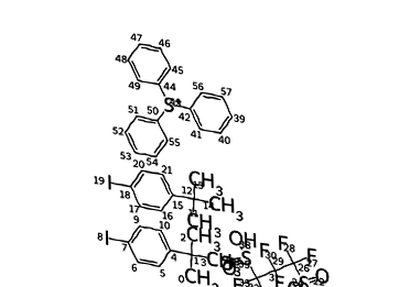 CC(C)(C)c1ccc(I)cc1.CC(C)(C)c1ccc(I)cc1.O=S(=O)([O-])C(F)(F)C(F)(F)C(F)(F)S(=O)(=O)O.c1ccc([S+](c2ccccc2)c2ccccc2)cc1